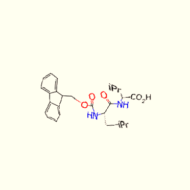 CC(C)C[C@H](NC(=O)OCC1c2ccccc2-c2ccccc21)C(=O)N[C@H](C(=O)O)C(C)C